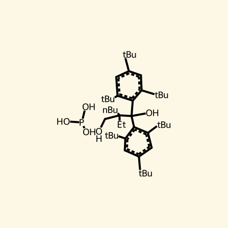 CCCCC(CC)(CO)C(O)(c1c(C(C)(C)C)cc(C(C)(C)C)cc1C(C)(C)C)c1c(C(C)(C)C)cc(C(C)(C)C)cc1C(C)(C)C.OP(O)O